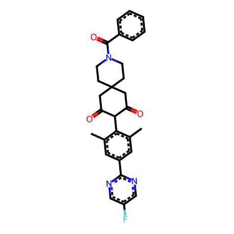 Cc1cc(-c2ncc(F)cn2)cc(C)c1C1C(=O)CC2(CCN(C(=O)c3ccccc3)CC2)CC1=O